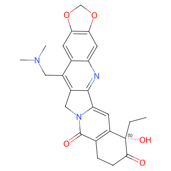 CC[C@@]1(O)C(=O)CCc2c1cc1n(c2=O)Cc2c-1nc1cc3c(cc1c2CN(C)C)OCO3